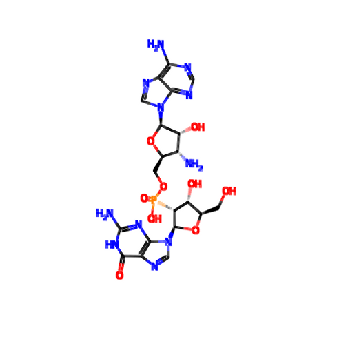 Nc1nc2c(ncn2[C@@H]2O[C@H](CO)[C@@H](O)[C@H]2P(=O)(O)OC[C@H]2O[C@@H](n3cnc4c(N)ncnc43)[C@H](O)[C@@H]2N)c(=O)[nH]1